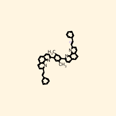 Cc1cc(-c2ccc3ccc4ccc(/C=C/c5ccccc5)nc4c3n2)c(C)cc1-c1ccc2ccc3ccc(C=Cc4ccccc4)nc3c2n1